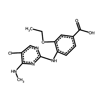 CCOc1cc(C(=O)O)ccc1Nc1ncc(Cl)c(NC)n1